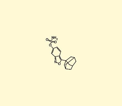 NS(=O)(=O)Oc1ccc2c(C34CC5CC(CC(C5)C3)C4)onc2c1